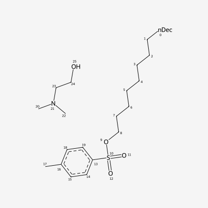 CCCCCCCCCCCCCCCCCCOS(=O)(=O)c1ccc(C)cc1.CN(C)CCO